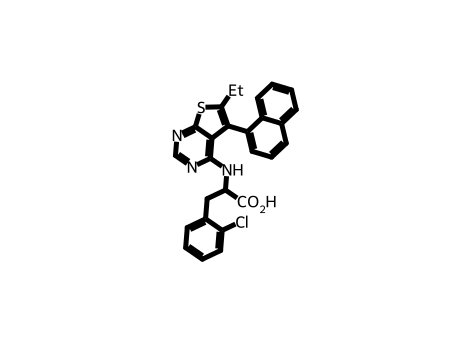 CCc1sc2ncnc(NC(Cc3ccccc3Cl)C(=O)O)c2c1-c1cccc2ccccc12